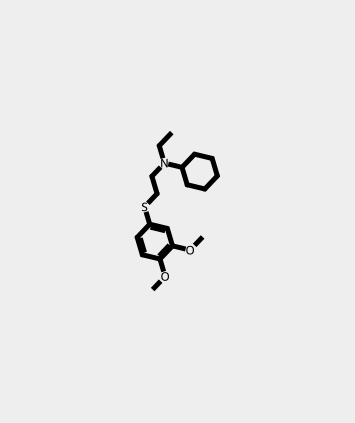 CCN(CCSc1ccc(OC)c(OC)c1)C1CCCCC1